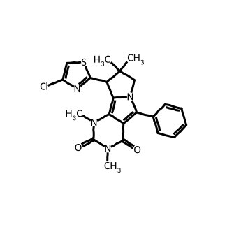 Cn1c(=O)c2c(-c3ccccc3)n3c(c2n(C)c1=O)C(c1nc(Cl)cs1)C(C)(C)C3